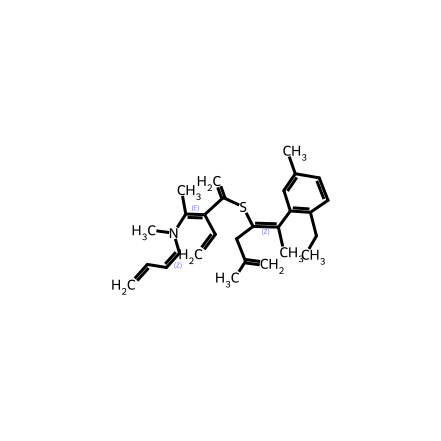 C=C/C=C\N(C)/C(C)=C(\C=C)C(=C)S/C(CC(=C)C)=C(/C)c1cc(C)ccc1CC